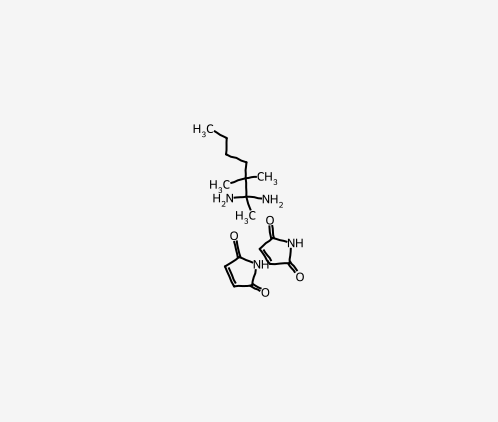 CCCCC(C)(C)C(C)(N)N.O=C1C=CC(=O)N1.O=C1C=CC(=O)N1